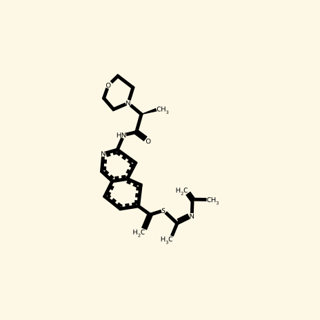 C=C(C)/N=C(/C)SC(=C)c1ccc2cnc(NC(=O)[C@H](C)N3CCOCC3)cc2c1